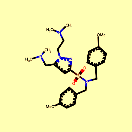 COc1ccc(CN(Cc2ccc(OC)cc2)S(=O)(=O)c2cc(CN(C)C)n(CCN(C)C)n2)cc1